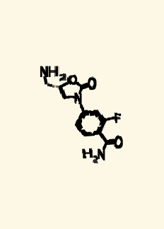 NC[C@H]1CN(c2ccc(C(N)=O)c(F)c2)C(=O)O1